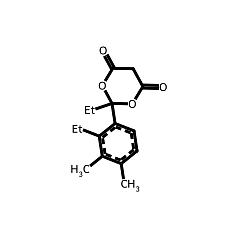 CCc1c(C2(CC)OC(=O)CC(=O)O2)ccc(C)c1C